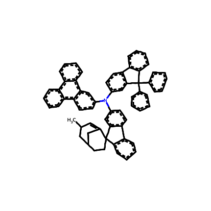 CC1C=C2CC(CCC23c2ccccc2-c2ccc(N(c4ccc5c(c4)C(c4ccccc4)(c4ccccc4)c4ccccc4-5)c4ccc5c6ccccc6c6ccccc6c5c4)cc23)C1